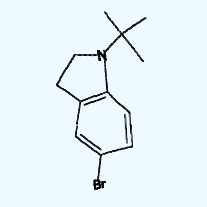 CC(C)(C)N1CCc2cc(Br)ccc21